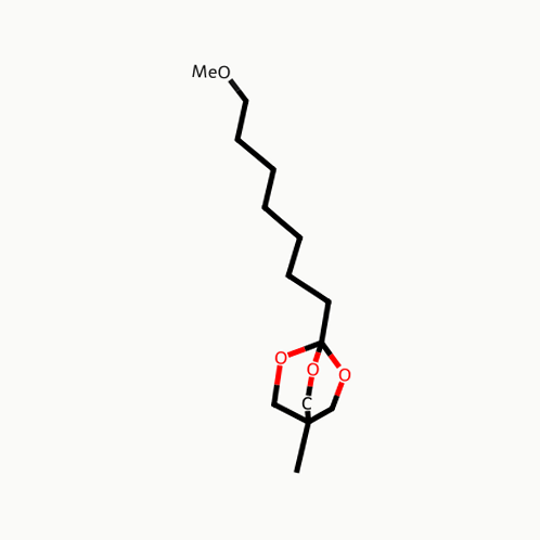 COCCCCCCCC12OCC(C)(CO1)CO2